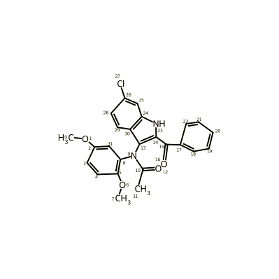 COc1ccc(OC)c(N(C(C)=O)c2c(C(=O)c3ccccc3)[nH]c3cc(Cl)ccc23)c1